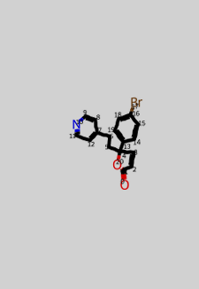 O=C1C=CC(CCc2ccncc2)(c2ccc(Br)cc2)O1